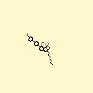 CCCCCCCc1cc2ccc(-c3ccc(-c4ccc(CC)cc4)cc3)c(F)c2c(=O)o1